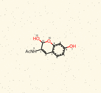 CC(=O)NC1=Cc2ccc(O)cc2OC1O